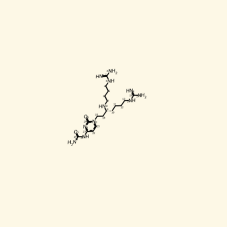 N=C(N)NCCCCN[C@H](CCCCNC(=N)N)CCn1ccc(NC(N)=O)nc1=O